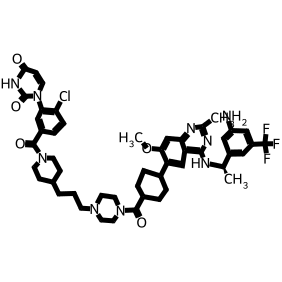 COc1cc2nc(C)nc(N[C@H](C)c3cc(N)cc(C(F)(F)F)c3)c2cc1C1CCC(C(=O)N2CCN(CCCC3CCN(C(=O)c4ccc(Cl)c(-n5ccc(=O)[nH]c5=O)c4)CC3)CC2)CC1